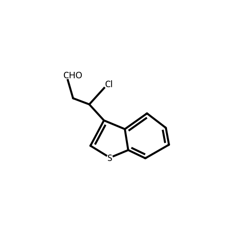 O=CCC(Cl)c1csc2ccccc12